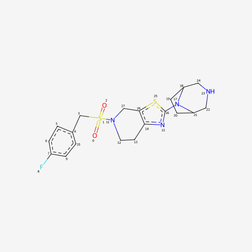 O=S(=O)(Cc1ccc(F)cc1)N1CCc2nc(N3C4CCC3CNC4)sc2C1